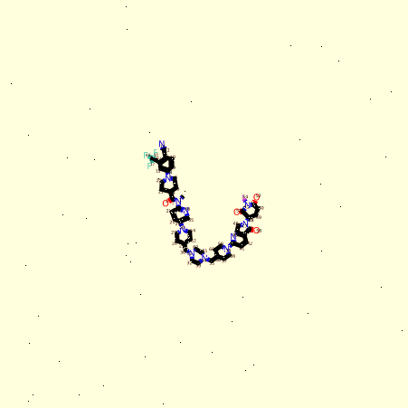 CN(C(=O)C1CCN(c2ccc(C#N)c(C(F)(F)F)c2)CC1)c1ccc(N2CCC(CN3CCN(CC4CCN(c5ccc6c(n5)CN(C5CCC(=O)N(I)C5=O)C6=O)CC4)CC3)CC2)cn1